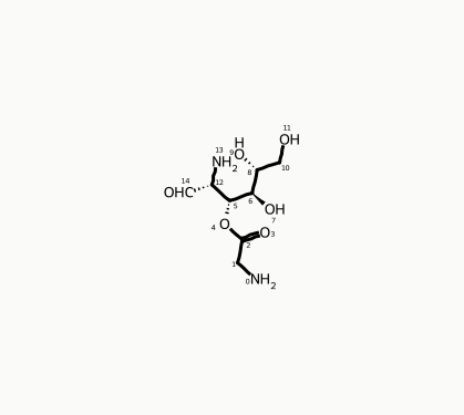 NCC(=O)O[C@@H]([C@H](O)[C@H](O)CO)[C@@H](N)C=O